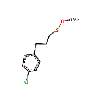 COOSCCCc1ccc(Cl)cc1